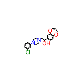 OC(CN1CCN(c2cccc(Cl)c2)CC1)c1ccc2c(c1)OC=CCO2